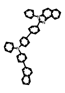 c1ccc(N(c2ccc(-c3ccc(-c4nc5c6ccccc6ccc5n4-c4ccccc4)cc3)cc2)c2ccc(-c3ccc4ccccc4c3)cc2)cc1